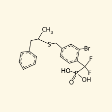 CC(Cc1ccccc1)SCc1ccc(C(F)(F)P(=O)(O)O)c(Br)c1